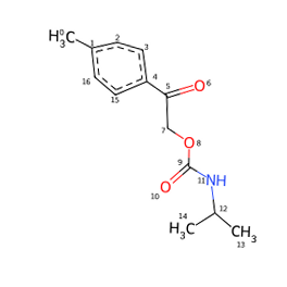 Cc1ccc(C(=O)COC(=O)NC(C)C)cc1